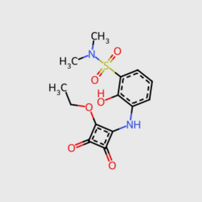 CCOc1c(Nc2cccc(S(=O)(=O)N(C)C)c2O)c(=O)c1=O